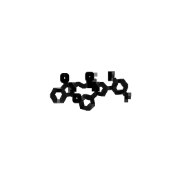 O=C1c2ccccc2C(=O)N1CC[S+]([O-])N1CC(c2cc(F)ccc2F)=CC1c1ccccc1